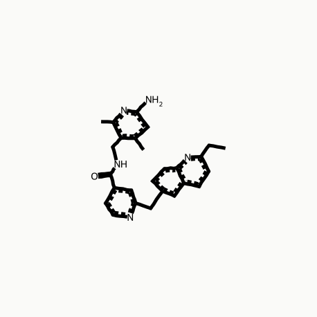 CCc1ccc2cc(Cc3cc(C(=O)NCc4c(C)cc(N)nc4C)ccn3)ccc2n1